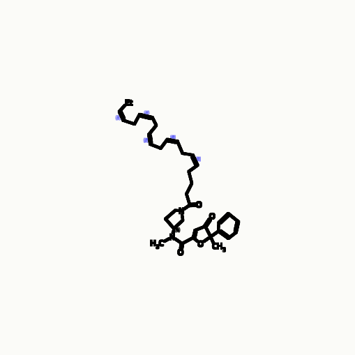 CC/C=C\C/C=C\C/C=C\C/C=C\C/C=C\CCCC(=O)N1CC[C@H](N(C)C(=O)C2=CC(=O)C(C)(c3ccccc3)O2)C1